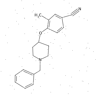 Cc1cc(C#N)ccc1OC1CCN(Cc2ccccc2)CC1